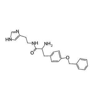 NC(Cc1ccc(OCc2ccccc2)cc1)C(=O)NCCc1c[nH]cn1